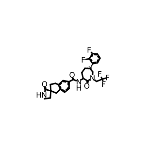 O=C(NC1CC[C@@H](c2cccc(F)c2F)CN(CC(F)(F)F)C1=O)c1ccc2c(c1)CCC1(CCNC1=O)C2